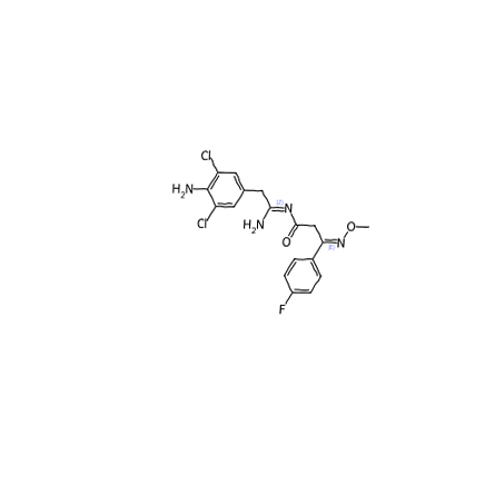 CO/N=C(\CC(=O)/N=C(\N)Cc1cc(Cl)c(N)c(Cl)c1)c1ccc(F)cc1